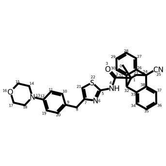 CC1(C(=O)Nc2nc(Cc3ccc(N4CCOCC4)cc3)cs2)CC2(C#N)c3ccccc3C1c1ccccc12